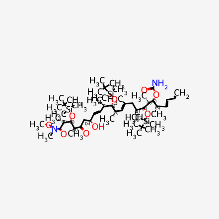 C=CC=C[C@H](C)[C@H](OC(N)=O)[C@@H](C)[C@H](O[Si](C)(C)C(C)(C)C)[C@@H](C)CC(C)=C[C@H](C)[C@@H](O[Si](C)(C)C(C)(C)C)[C@@H](C)C=C[C@@H](O)CC(=O)[C@H](C)[C@H](O[Si](C)(C)C(C)(C)C)[C@@H](C)C(=O)N(C)OC